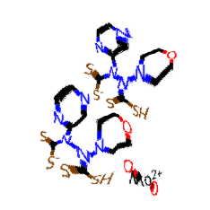 S=C([S-])N(c1cnccn1)N(C(=S)S)N1CCOCC1.S=C([S-])N(c1cnccn1)N(C(=S)S)N1CCOCC1.[O]=[Mo+2]=[O]